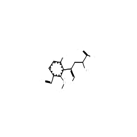 C=Cc1ccc(C)c(/C(=C\C)CC(N)C(=C)C)c1NC